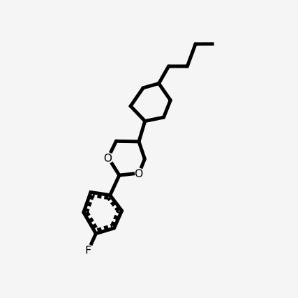 CCCCC1CCC(C2COC(c3ccc(F)cc3)OC2)CC1